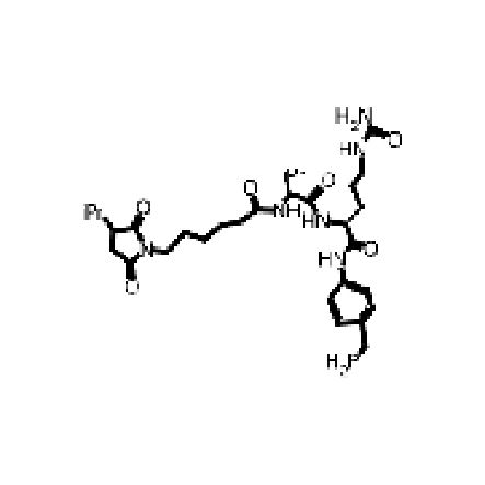 CC(C)C1CC(=O)N(CCCCCC(=O)N[C@H](C(=O)N[C@@H](CCCNC(N)=O)C(=O)Nc2ccc(CP)cc2)C(C)C)C1=O